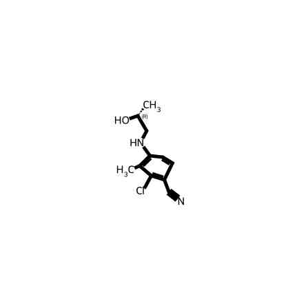 Cc1c(NC[C@@H](C)O)ccc(C#N)c1Cl